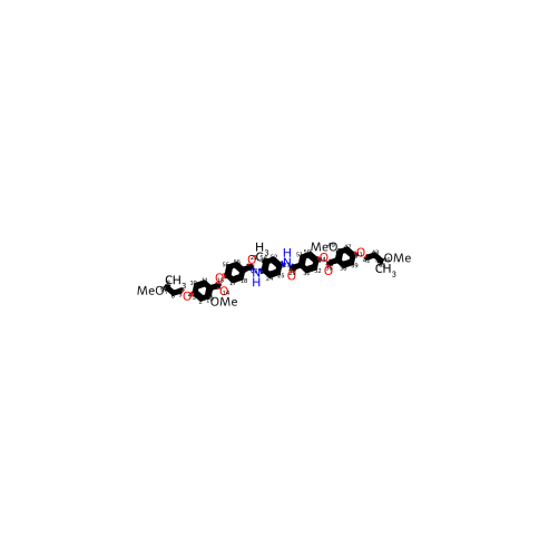 COc1cc(OCCC(C)OC)ccc1C(=O)Oc1ccc(C(=O)Nc2ccc(NC(=O)c3ccc(OC(=O)c4ccc(OCC[C@@H](C)OC)cc4OC)cc3)cc2C)cc1